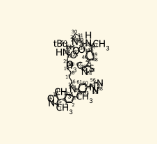 Cc1ccc(-c2c(C)noc2C)cc1N(CCCCCOCC(=O)N[C@H](C(=O)N1CCC[C@H]1C(=O)N[C@@H](C)c1ccc(-c2scnc2C)cc1)C(C)(C)C)c1ccc(-n2cncn2)cc1